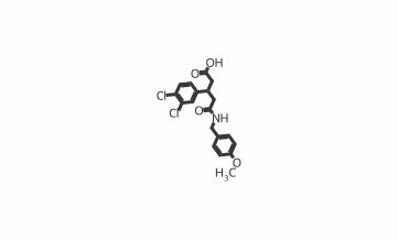 COc1ccc(CNC(=O)CC(CC(=O)O)c2ccc(Cl)c(Cl)c2)cc1